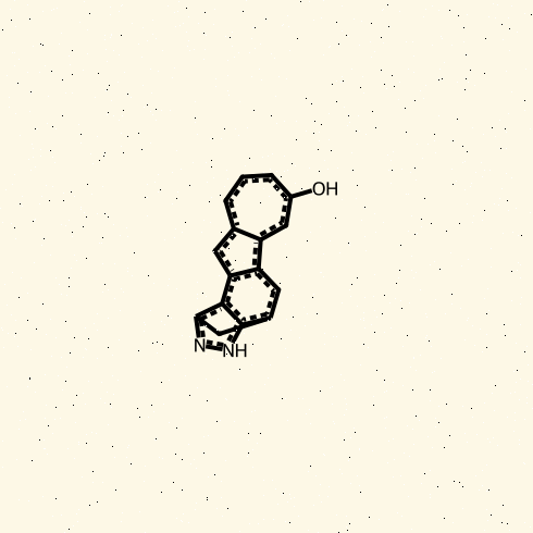 Oc1cccc2cc3c(cc4c5[nH]nc(c53)C4)c-2c1